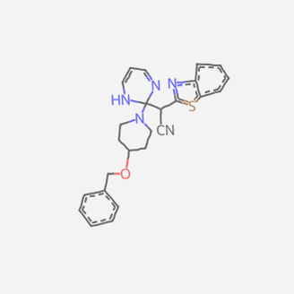 N#CC(c1nc2ccccc2s1)C1(N2CCC(OCc3ccccc3)CC2)N=CC=CN1